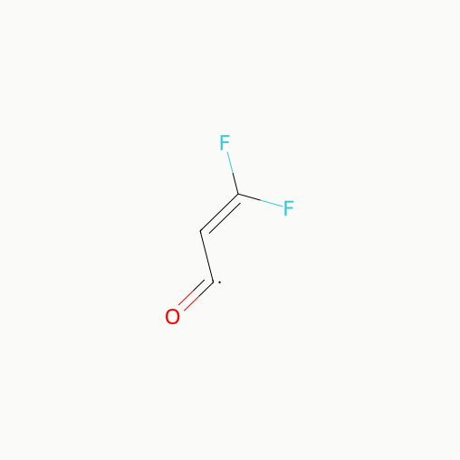 O=[C]C=C(F)F